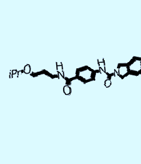 CC(C)OCCCNC(=O)c1ccc(NC(=O)N2Cc3ccccc3C2)cc1